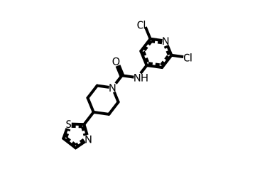 O=C(Nc1cc(Cl)nc(Cl)c1)N1CCC(c2nccs2)CC1